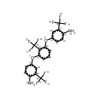 Nc1ccc(Oc2cccc(Oc3ccc(N)c(C(F)(F)F)c3)c2C(F)(F)F)cc1C(F)(F)F